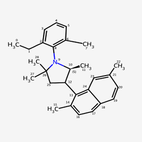 CCc1cccc(C)c1N1[C@@H](C)C(c2c(C)ccc3ccc(C)cc23)CC1(C)C